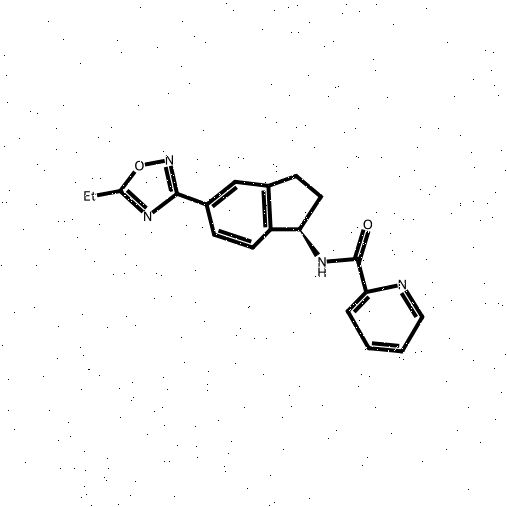 CCc1nc(-c2ccc3c(c2)CC[C@H]3NC(=O)c2ccccn2)no1